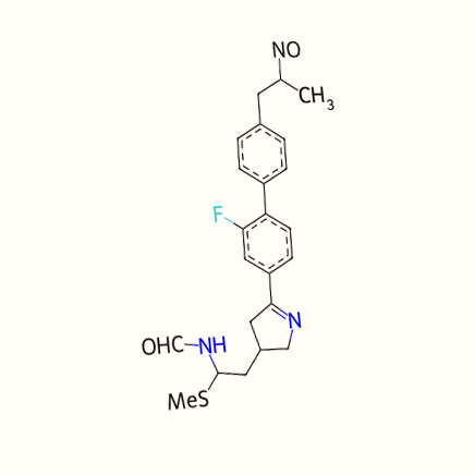 CSC(CC1CN=C(c2ccc(-c3ccc(CC(C)N=O)cc3)c(F)c2)C1)NC=O